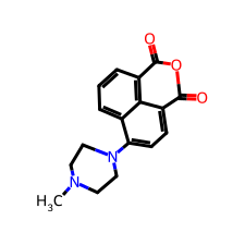 CN1CCN(c2ccc3c4c(cccc24)C(=O)OC3=O)CC1